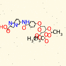 COC(=O)C1OC(Oc2ccc(C(=O)Nc3ccc4nc(C(=O)O)cn4c3)cc2)CC(OC(C)=O)C1OC(C)=O